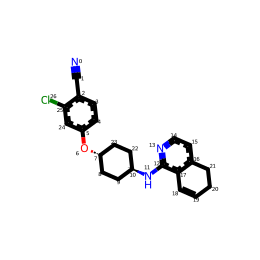 N#Cc1ccc(O[C@H]2CC[C@H](Nc3nccc4c3C=CCC4)CC2)cc1Cl